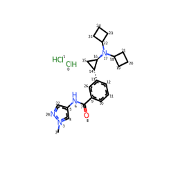 Cl.Cl.Cn1cc(NC(=O)c2cccc([C@@H]3C[C@H]3N(C3CCC3)C3CCC3)c2)cn1